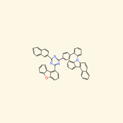 c1ccc(-n2c3ccccc3c3c4ccccc4ccc32)c(-c2ccc(-c3nc(-c4ccc5ccccc5c4)nc(-c4cccc5oc6ccccc6c45)n3)cc2)c1